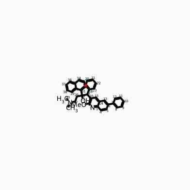 COc1nc2ccc(-c3ccccc3)cc2cc1C(c1ccccc1)C(O)(CCN(C)C)c1cccc2ccccc12